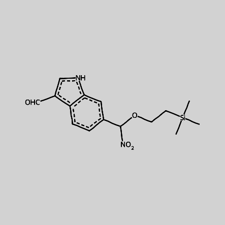 C[Si](C)(C)CCOC(c1ccc2c(C=O)c[nH]c2c1)[N+](=O)[O-]